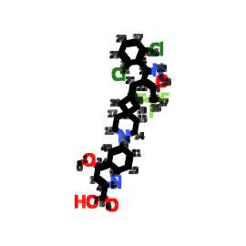 COc1cc(C(=O)O)nc2ccc(N3CCC4(CC3)CC(=Cc3c(-c5c(Cl)cccc5Cl)noc3C(F)(F)F)C4)cc12